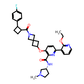 CCOc1ncccc1-c1ccc(OC2CC3(C2)CN(C(=O)C2CCC2c2ccc(F)cc2)C3)c(C(=O)N[C@@H]2CCN(C)C2)n1